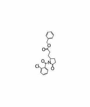 O=C(CCC1CCC(=O)N1C(=O)c1ccccc1Cl)OCc1ccccc1